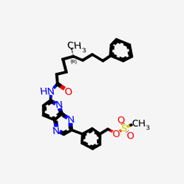 C[C@@H](CCCC(=O)Nc1ccc2ncc(-c3cccc(COS(C)(=O)=O)c3)nc2n1)CCCc1ccccc1